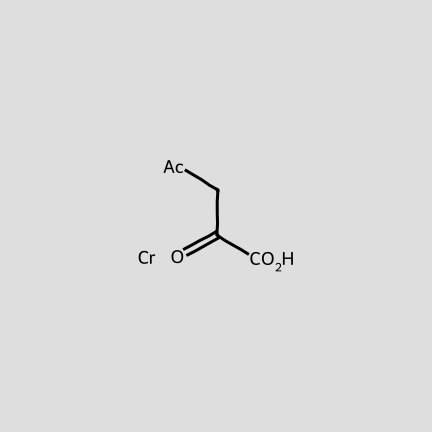 CC(=O)CC(=O)C(=O)O.[Cr]